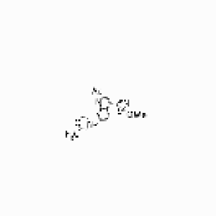 COc1ncc(-c2cc(C(C)=O)nc3cc(CN4CCOC(C(F)(F)F)C4)ccc23)s1